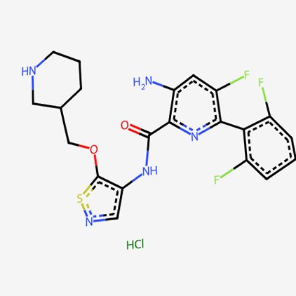 Cl.Nc1cc(F)c(-c2c(F)cccc2F)nc1C(=O)Nc1cnsc1OCC1CCCNC1